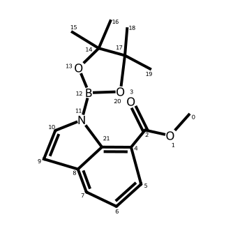 COC(=O)c1cccc2ccn(B3OC(C)(C)C(C)(C)O3)c12